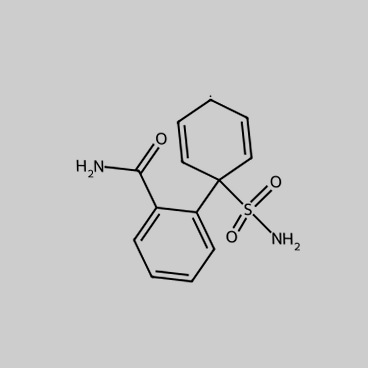 NC(=O)c1ccccc1C1(S(N)(=O)=O)C=C[CH]C=C1